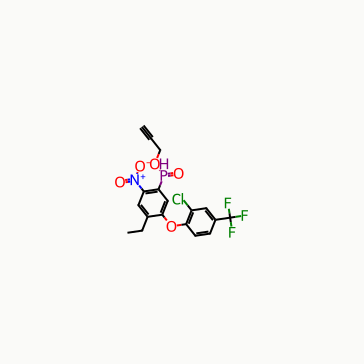 C#CCO[PH](=O)c1cc(Oc2ccc(C(F)(F)F)cc2Cl)c(CC)cc1[N+](=O)[O-]